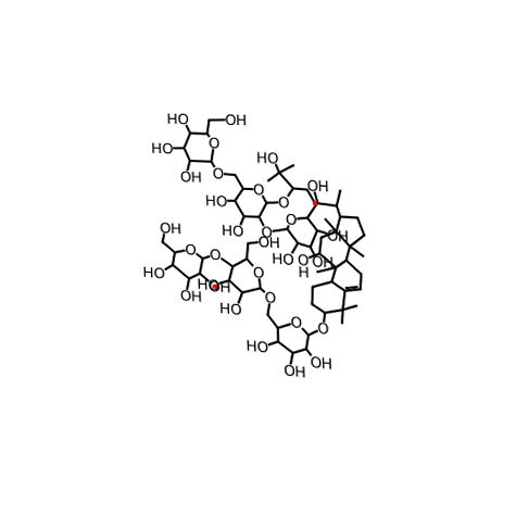 CC(CCC(OC1OC(COC2OC(CO)C(O)C(O)C2O)C(O)C(O)C1OC1OC(CO)C(O)C(O)C1O)C(C)(C)O)C1CCC2(C)C3CC=C4C(CCC(OC5OC(COC6OC(CO)C(OC7OC(CO)C(O)C(O)C7O)C(O)C6O)C(O)C(O)C5O)C4(C)C)C3(C)C(O)CC12C